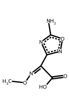 CO/N=C(\C(=O)O)c1noc(N)n1